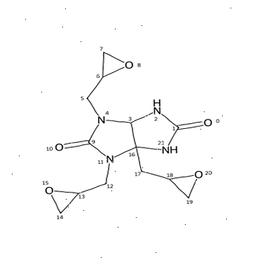 O=C1NC2N(CC3CO3)C(=O)N(CC3CO3)C2(CC2CO2)N1